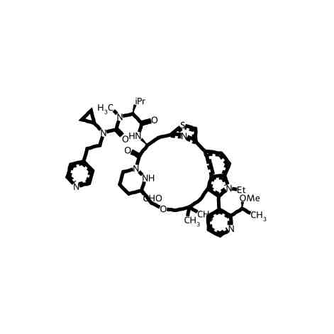 CCn1c(-c2cccnc2[C@H](C)OC)c2c3cc(ccc31)-c1csc(n1)C[C@H](NC(=O)[C@H](C(C)C)N(C)C(=O)N(CCc1ccncc1)C1CC1)C(=O)N1CCCC(C=O)(COCC(C)(C)C2)N1